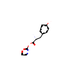 N[C@@H](Cc1ccc(O)cc1)C(=O)Oc1ncco1